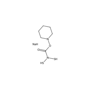 O=C(ON1CCCCC1)N(S)S.[NaH]